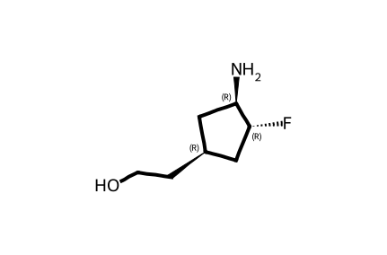 N[C@@H]1C[C@H](CCO)C[C@H]1F